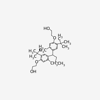 CCCC(c1cc(C(C)(C)C)c(OCCO)cc1C)c1cc(C(C)(C)C)c(OCCO)cc1C